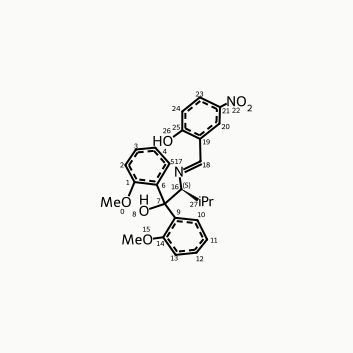 COc1ccccc1C(O)(c1ccccc1OC)[C@@H](N=Cc1cc([N+](=O)[O-])ccc1O)C(C)C